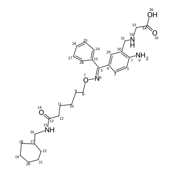 Nc1ccc(C(=NOCCCCCC(=O)NCC2CCCCC2)c2ccccc2)cc1CNCC(=O)O